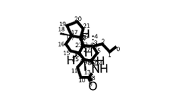 CCC[C@@]1(C)C[C@H]2NC(=O)CC[C@]2(C)[C@H]2CC[C@]3(C)CCC[C@H]3[C@@H]21